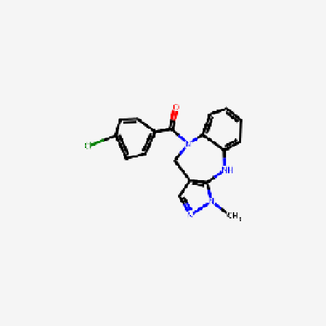 Cn1ncc2c1Nc1ccccc1N(C(=O)c1ccc(Cl)cc1)C2